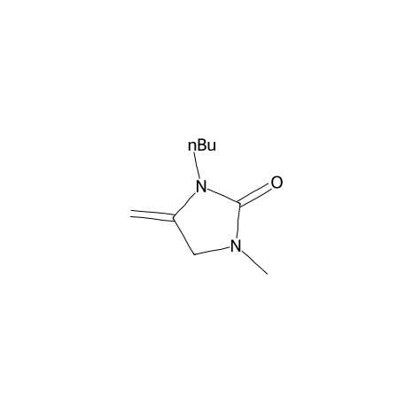 C=C1CN(C)C(=O)N1CCCC